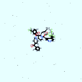 CCC[C@H]1N(C(=O)c2cnccc2C(F)(F)F)CCC[C@@]1(Oc1ccc(C(F)(F)F)cc1)C(=O)N1CCC(C(=O)c2ccccc2)CC1